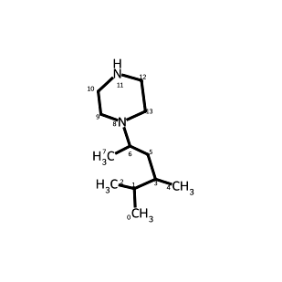 CC(C)C(C)CC(C)N1CCNCC1